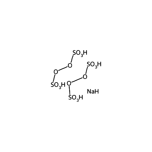 O=S(=O)(O)OOS(=O)(=O)O.O=S(=O)(O)OOS(=O)(=O)O.[NaH]